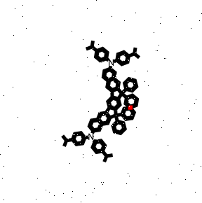 CC(C)c1ccc(N(c2ccc(C(C)C)cc2)c2ccc3cc4c(cc3c2)C(c2ccccc2)(c2ccccc2)c2cc3c(cc2-4)-c2cc4ccc(N(c5ccc(C(C)C)cc5)c5ccc(C(C)C)cc5)cc4cc2C3(c2ccccc2)c2ccccc2)cc1